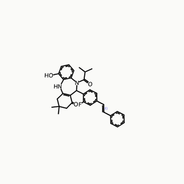 CC(C)C(=O)N1c2cccc(O)c2NC2=C(C(=O)CC(C)(C)C2)C1c1ccc(/C=C/c2ccccc2)cc1F